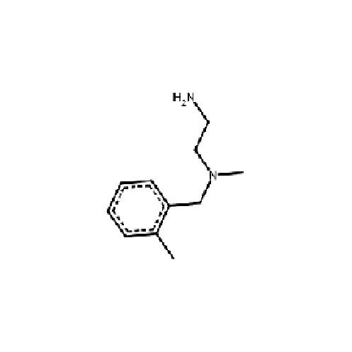 Cc1ccccc1CN(C)CCN